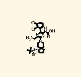 CC(C)(C)[S+]([O-])N[C@@H]1CCCC12CCN(c1nc(NC(=O)O)c(-c3cccc(Cl)c3Cl)nc1CN)CC2